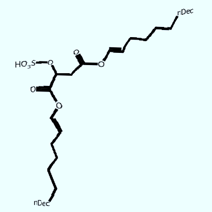 CCCCCCCCCCCCCCC=COC(=O)CC(OS(=O)(=O)O)C(=O)OC=CCCCCCCCCCCCCCC